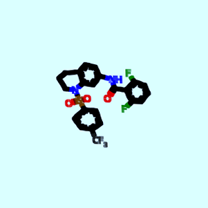 O=C(Nc1ccc2c(c1)N(S(=O)(=O)c1ccc(C(F)(F)F)cc1)CCC2)c1c(F)cccc1F